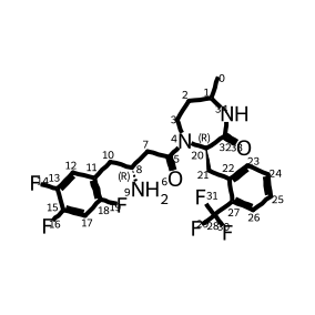 CC1CCN(C(=O)C[C@H](N)Cc2cc(F)c(F)cc2F)[C@H](Cc2ccccc2C(F)(F)F)C(=O)N1